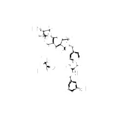 N[C@@H]1C(=O)N2C(C(=O)[O-])=C(C=C3CCN(Cc4cc[n+](CC(=O)NCc5cccc(O)c5)cc4)C3=O)CS[C@H]12.O=C(O)C(F)(F)F